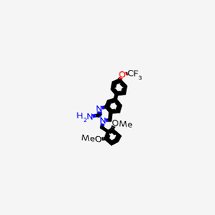 COc1cccc(OC)c1CN1Cc2ccc(-c3ccc(OC(F)(F)F)cc3)cc2N=C1N